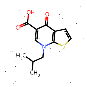 CC(C)Cn1cc(C(=O)O)c(=O)c2ccsc21